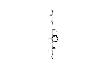 C=CC(=O)OCCOC(=O)Nc1cccc(NC(=O)NCCC)c1C